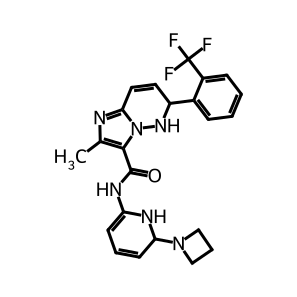 Cc1nc2n(c1C(=O)NC1=CC=CC(N3CCC3)N1)NC(c1ccccc1C(F)(F)F)C=C2